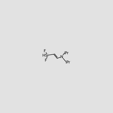 CC(C)N(C=C[SiH](F)F)C(C)C